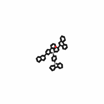 c1ccc(-c2ccc(-c3ccc4ccccc4c3)cc2N(c2ccc(-c3cc4ccccc4c4ccccc34)cc2)c2ccc(-n3c4ccccc4c4ccccc43)cc2)cc1